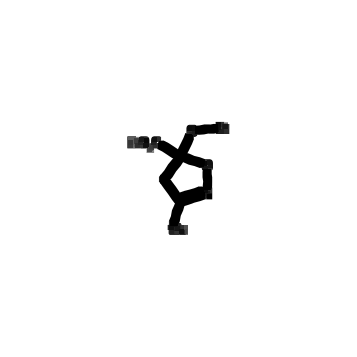 CCOC(=O)C1(OCC)CC(C(C)(C)C)=NO1